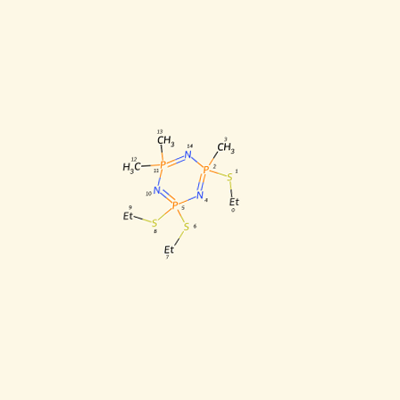 CCSP1(C)=NP(SCC)(SCC)=NP(C)(C)=N1